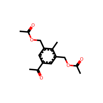 CC(=O)OCc1cc(C(C)=O)cc(COC(C)=O)c1C